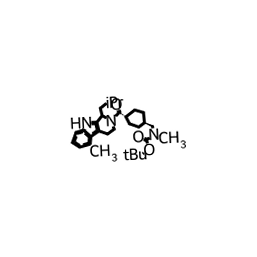 Cc1cccc2[nH]c3c(c12)CCN(C(=O)[C@H]1CC[C@H](CN(C)C(=O)OC(C)(C)C)CC1)C3CC(C)C